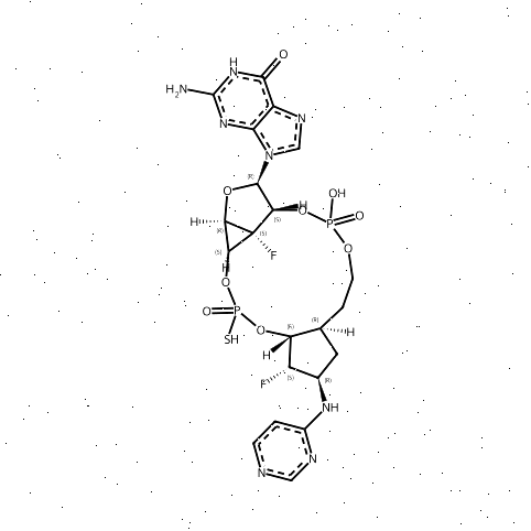 Nc1nc2c(ncn2[C@@H]2O[C@@H]3[C@@H]4OP(=O)(S)O[C@@H]5[C@@H](CCOP(=O)(O)O[C@@H]2[C@]34F)C[C@@H](Nc2ccncn2)[C@@H]5F)c(=O)[nH]1